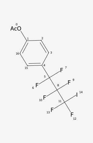 CC(=O)Oc1ccc(C(F)(F)C(F)(F)C(F)(F)I)cc1